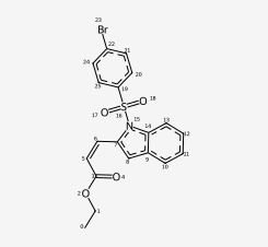 CCOC(=O)/C=C\c1cc2ccccc2n1S(=O)(=O)c1ccc(Br)cc1